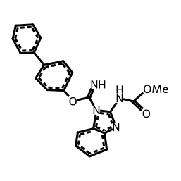 COC(=O)Nc1nc2ccccc2n1C(=N)Oc1ccc(-c2ccccc2)cc1